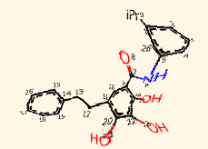 CC(C)c1cccc(NC(=O)c2cc(CCc3ccccc3)c(O)c(O)c2O)c1